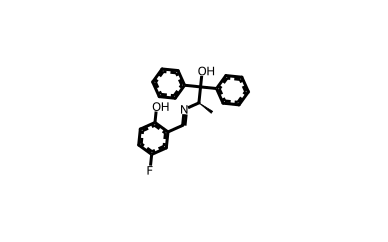 C[C@@H](N=Cc1cc(F)ccc1O)C(O)(c1ccccc1)c1ccccc1